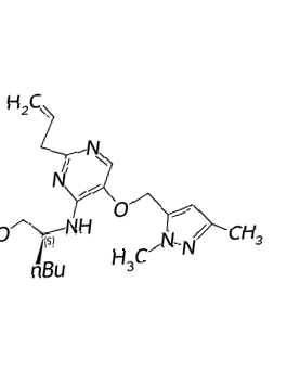 C=CCc1ncc(OCc2cc(C)nn2C)c(N[C@H](CO)CCCC)n1